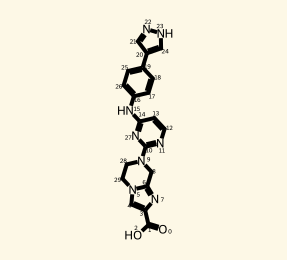 O=C(O)c1cn2c(n1)CN(c1nccc(Nc3ccc(-c4cn[nH]c4)cc3)n1)CC2